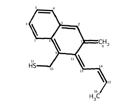 C=c1cc2ccccc2c(CS)/c1=C/C=C\C